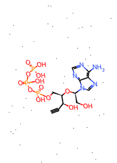 C#C[C@H](O)[C@@H](COP(=O)(O)OP(=O)(O)OP(=O)(O)O)O[C@H](CO)n1cnc2c(N)ncnc21